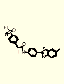 CCS(=O)(=O)c1ccc(CC(=O)Nc2ccc(-c3nc4ccc(C)cc4s3)cc2)cc1